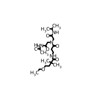 CCOCCC(C)(C)C(=O)NCCC(=O)N(CC(=O)NC(C)C)CC(=O)NC(C)C